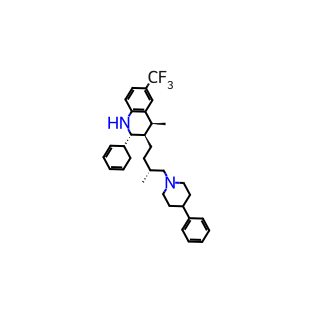 C[C@H](CC[C@@H]1[C@H](C)c2cc(C(F)(F)F)ccc2N[C@H]1C1C=CC=CC1)CN1CCC(c2ccccc2)CC1